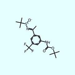 CC(=N[S+]([O-])C(C)(C)C)c1cc(NC(=O)OC(C)(C)C)cc(C(F)(F)F)c1